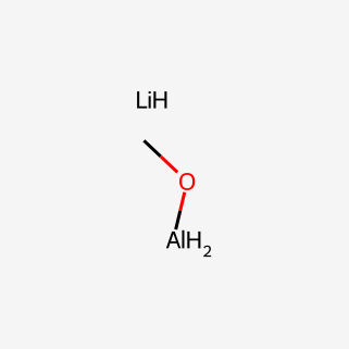 C[O][AlH2].[LiH]